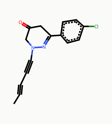 CC#CC#CN1CC(=O)CC(c2ccc(Cl)cc2)=N1